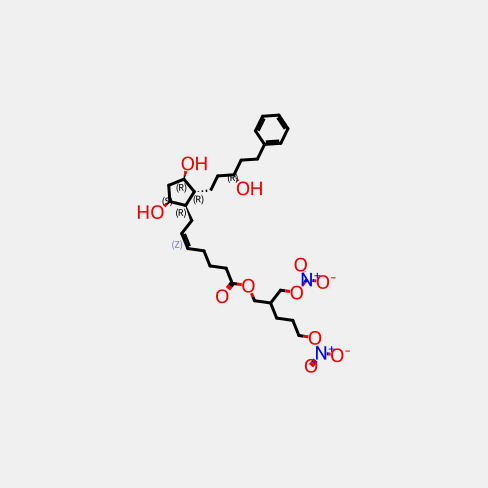 O=C(CCC/C=C\C[C@@H]1[C@@H](CC[C@@H](O)CCc2ccccc2)[C@H](O)C[C@@H]1O)OCC(CCCO[N+](=O)[O-])CO[N+](=O)[O-]